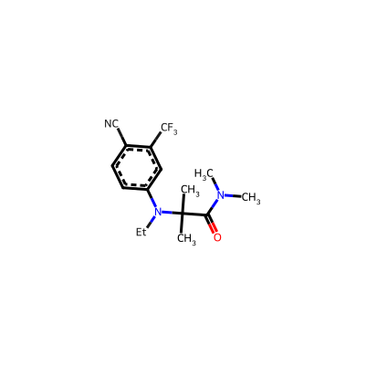 CCN(c1ccc(C#N)c(C(F)(F)F)c1)C(C)(C)C(=O)N(C)C